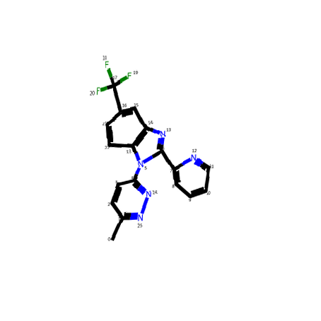 Cc1ccc(-n2c(-c3ccccn3)nc3cc(C(F)(F)F)ccc32)nn1